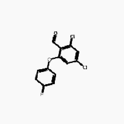 O=Cc1c(Cl)cc(Cl)cc1OC1=CCC(F)C=C1